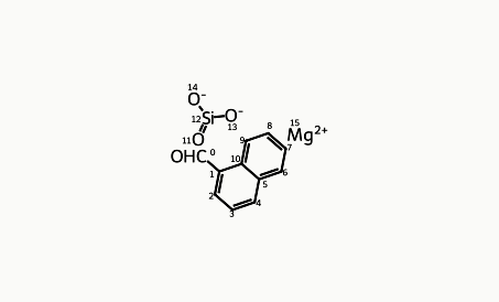 O=Cc1cccc2ccccc12.O=[Si]([O-])[O-].[Mg+2]